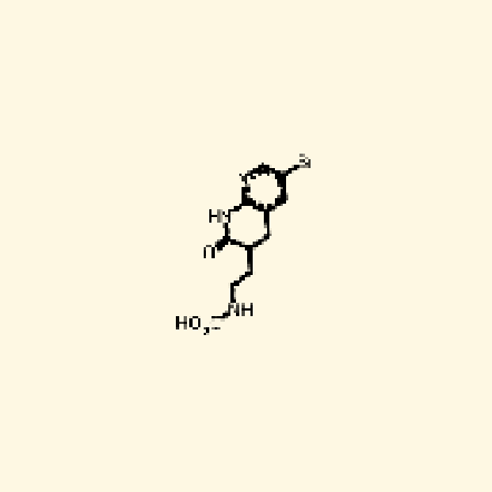 O=C(O)NCCC1Cc2cc(Br)cnc2NC1=O